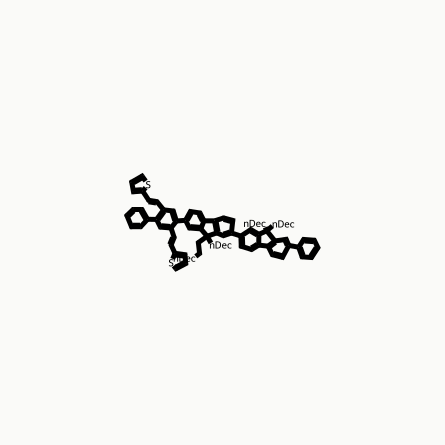 CCCCCCCCCCCCC1(CCCCCCCCCC)c2cc(-c3ccc4c(c3)C(CCCCCCCCCC)(CCCCCCCCCC)c3cc(-c5ccccc5)ccc3-4)ccc2-c2ccc(-c3cc(/C=C/c4cccs4)c(-c4ccccc4)cc3/C=C/c3cccs3)cc21